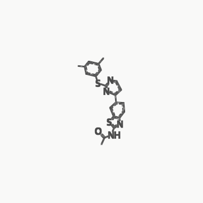 CC(=O)Nc1nc2ccc(-c3ccnc(Sc4cc(C)cc(C)c4)n3)cc2s1